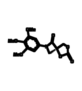 COc1cc(N2C[C@@]3(COC(=O)O3)C2=O)cc(OC)c1OC